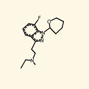 CCN(C)CCc1nn(C2CCCCO2)c2c(F)cccc12